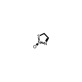 O=[N+]1N=CCS1